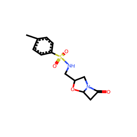 Cc1ccc(S(=O)(=O)NCC2CN3C(=O)CC3O2)cc1